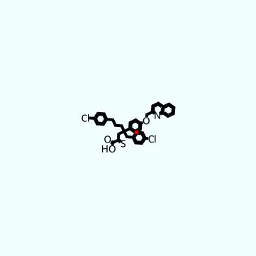 O=C(O)C(=S)CC(CCCc1ccc(Cl)cc1)(Cc1ccc(Cl)cc1)c1ccc(OCc2ccc3ccccc3n2)cc1